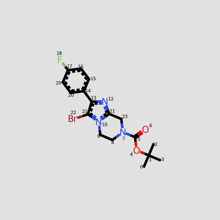 CC(C)(C)OC(=O)N1CCn2c(nc(-c3ccc(F)cc3)c2Br)C1